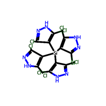 Clc1n[nH]c(Cl)c1[Si](c1c(Cl)n[nH]c1Cl)(c1c(Cl)n[nH]c1Cl)c1c(Cl)n[nH]c1Cl